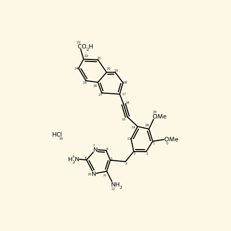 COc1cc(Cc2cnc(N)nc2N)cc(C#Cc2ccc3cc(C(=O)O)ccc3c2)c1OC.Cl